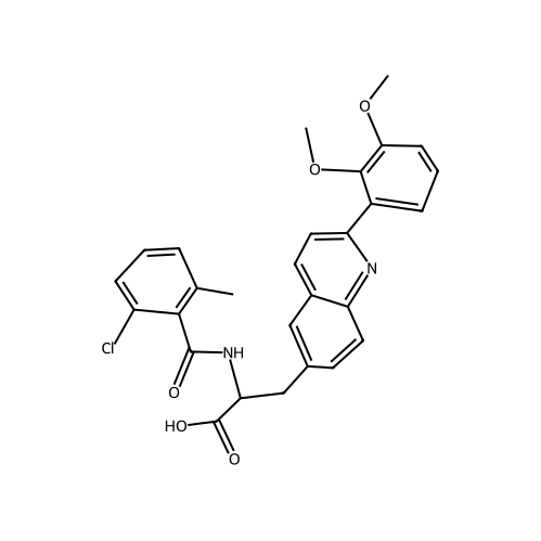 COc1cccc(-c2ccc3cc(CC(NC(=O)c4c(C)cccc4Cl)C(=O)O)ccc3n2)c1OC